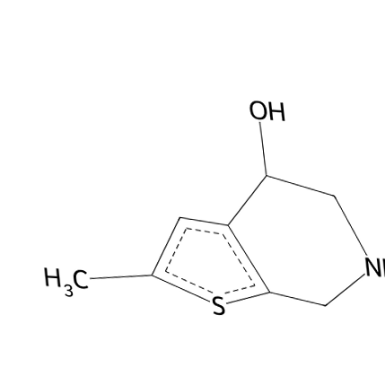 Cc1cc2c(s1)CNCC2O